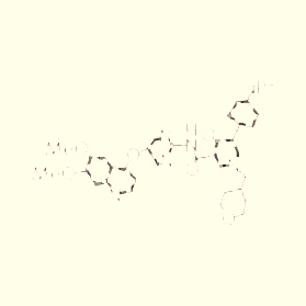 COc1cc2nccc(Oc3cnc(NC(=O)c4cn(CC5CCOCC5)cc(-c5ccc(C(C)C)cc5)c4=O)nc3)c2cc1OC